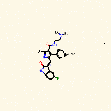 CCN(CC)CCNC(=O)c1c(C)[nH]c(/C=C2\C(=O)Nc3ccc(F)cc32)c1-c1ccc(OC)cc1